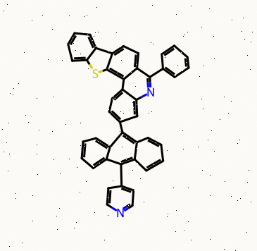 c1ccc(-c2nc3cc(-c4c5ccccc5c(-c5ccncc5)c5ccccc45)ccc3c3c2ccc2c4ccccc4sc23)cc1